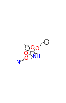 CC1=C(C(=O)OCCC#N)C(c2ccc(C)cc2)C(C(=O)OCCCc2ccccc2)=C(C)N1